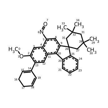 COc1cc2c(N=O)cc3c(c2cc1C1=CCCC=C1)-c1ccccc1C31CC(C)(C)CC(C)(C)C1